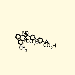 CCOC(=O)N(c1cccc(C(F)(F)F)c1)c1c(-c2ccccc2)noc1-c1ccc(-c2ccc(C3(C(=O)O)CC3)cc2)cc1